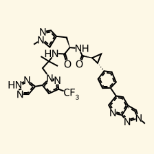 Cn1cc(C[C@@H](NC(=O)[C@H]2C[C@@H]2c2ccc(-c3cnc4nn(C)cc4c3)cc2)C(=O)NC(C)(C)Cn2nc(C(F)(F)F)cc2-c2cn[nH]n2)cn1